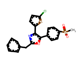 CS(=O)(=O)c1ccc(-c2oc(Cc3ccccc3)nc2-c2ccc(Cl)s2)cc1